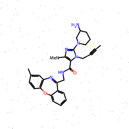 CC#CCn1c(N2CCCC(N)C2)nc(NC)c1C(=O)NCC1=Nc2cc(C)ccc2Oc2ccccc21